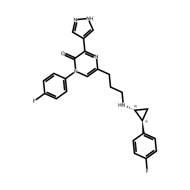 O=c1c(-c2cn[nH]c2)nc(CCCN[C@@H]2C[C@H]2c2ccc(F)cc2)cn1-c1ccc(F)cc1